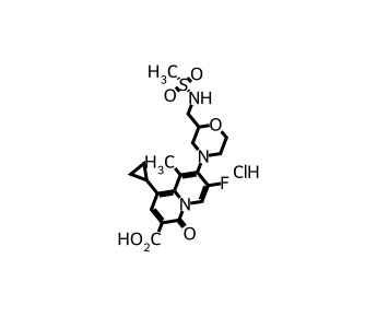 Cc1c(N2CCOC(CNS(C)(=O)=O)C2)c(F)cn2c(=O)c(C(=O)O)cc(C3CC3)c12.Cl